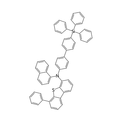 c1ccc(-c2cccc3c2sc2c(N(c4ccc(-c5ccc([Si](c6ccccc6)(c6ccccc6)c6ccccc6)cc5)cc4)c4cccc5ccccc45)cccc23)cc1